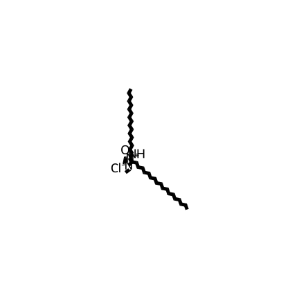 CCCCCCCCCCCCCCCCCCC1=[N+](NC(=O)CCCCCCCCCCCCCCC)CCN1CC.[Cl-]